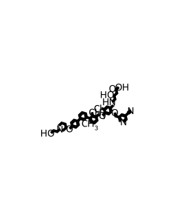 Cc1c(COc2cc(OCc3cncc(C#N)c3)c(CNC[C@@H](O)CC(=O)O)cc2Cl)cccc1-c1cccc(-c2ccc(O[C@H]3CCCN(CCO)C3)cc2)c1C